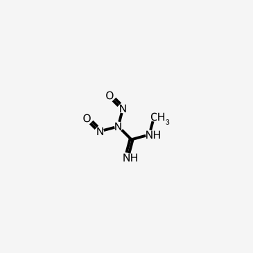 CNC(=N)N(N=O)N=O